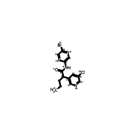 CCCC(C(=O)Nc1cnc(Br)cn1)c1cncc(Cl)c1